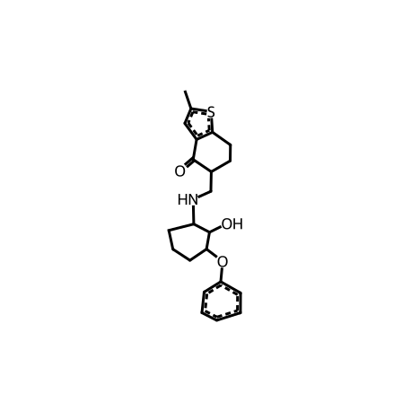 Cc1cc2c(s1)CCC(CNC1CCCC(Oc3ccccc3)C1O)C2=O